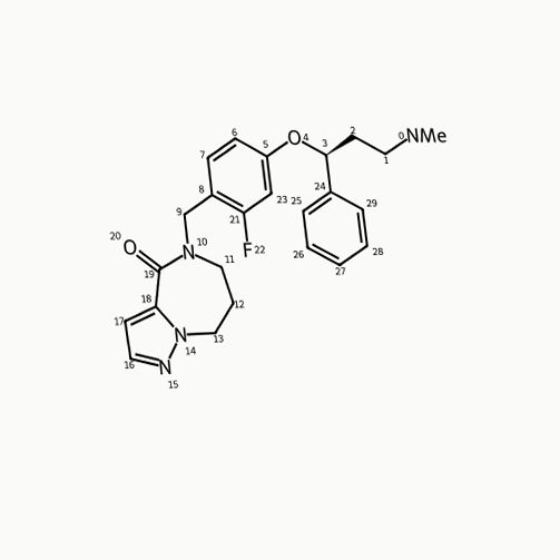 CNCC[C@H](Oc1ccc(CN2CCCn3nccc3C2=O)c(F)c1)c1ccccc1